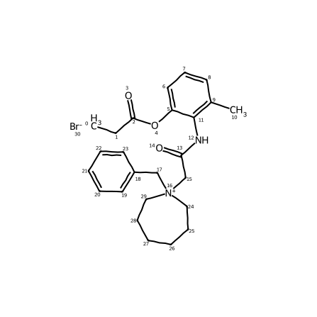 CCC(=O)Oc1cccc(C)c1NC(=O)C[N+]1(Cc2ccccc2)CCCCCC1.[Br-]